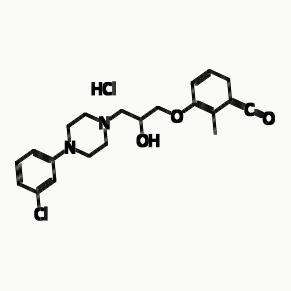 CC1=C(OCC(O)CN2CCN(c3cccc(Cl)c3)CC2)C=CCC1=C=O.Cl